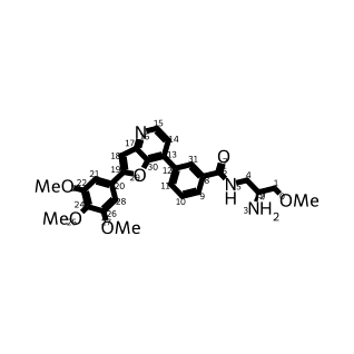 COC[C@@H](N)CNC(=O)c1cccc(-c2ccnc3cc(-c4cc(OC)c(OC)c(OC)c4)oc23)c1